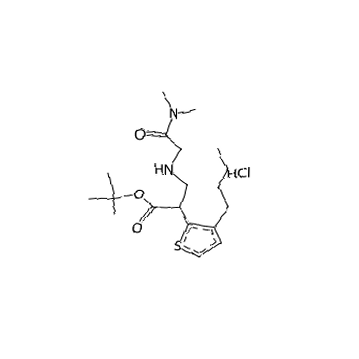 CCCCc1ccsc1C(CNCC(=O)N(C)C)C(=O)OC(C)(C)C.Cl